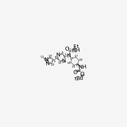 CCNC(=O)N(c1cnc(-c2cnn(C)c2)cn1)[C@H]1CC[C@H](NC(=O)OC(C)(C)C)CC1